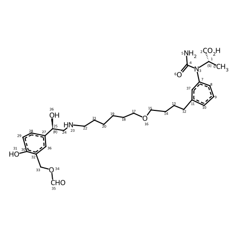 C[C@@H](C(=O)O)N(C(N)=O)c1cccc(CCCCOCCCCCCNC[C@H](O)c2ccc(O)c(COC=O)c2)c1